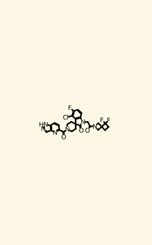 O=C(CN1C(=O)C2(CCN(C(=O)c3ccc4[nH]ncc4n3)CC2)c2c1ccc(F)c2Cl)N1CC2(CCC2(F)F)C1